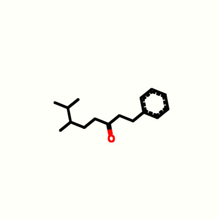 CC(C)C(C)CCC(=O)CCc1ccccc1